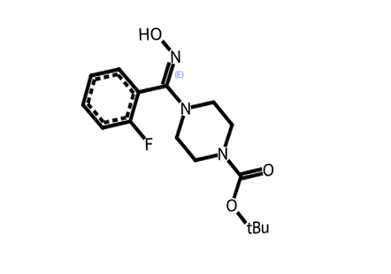 CC(C)(C)OC(=O)N1CCN(/C(=N/O)c2ccccc2F)CC1